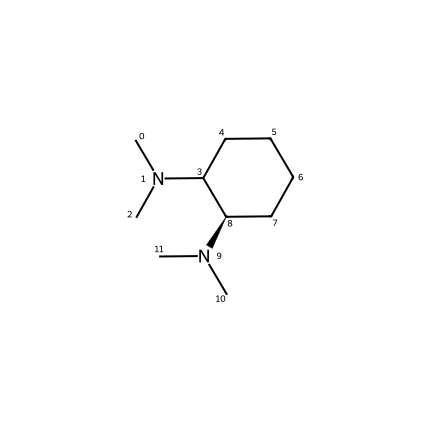 CN(C)C1CCCC[C@H]1N(C)C